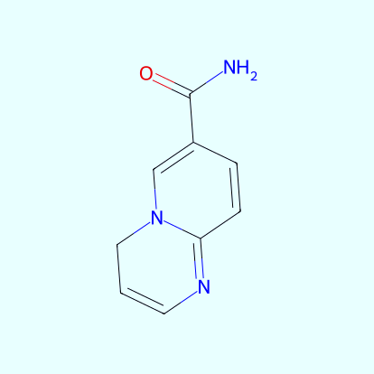 NC(=O)C1=CN2CC=CN=C2C=C1